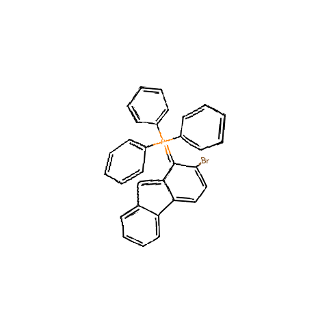 BrC1=CC=C2C(=Cc3ccccc32)C1=P(c1ccccc1)(c1ccccc1)c1ccccc1